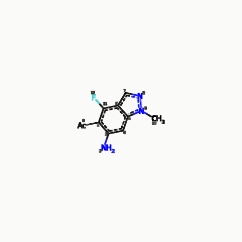 CC(=O)c1c(N)cc2c(cnn2C)c1F